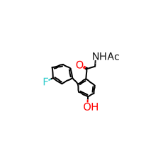 CC(=O)NCC(=O)c1ccc(O)cc1-c1cccc(F)c1